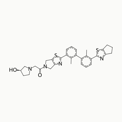 Cc1c(-c2nc3c(s2)CCC3)cccc1-c1cccc(-c2nc3c(s2)CN(C(=O)CN2CC[C@@H](O)C2)C3)c1C